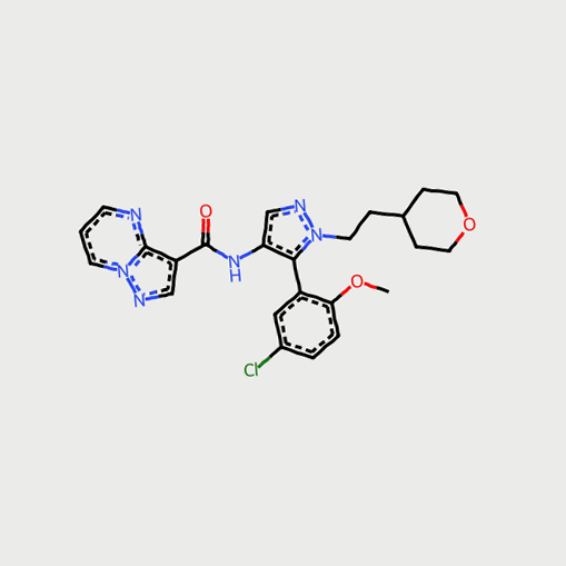 COc1ccc(Cl)cc1-c1c(NC(=O)c2cnn3cccnc23)cnn1CCC1CCOCC1